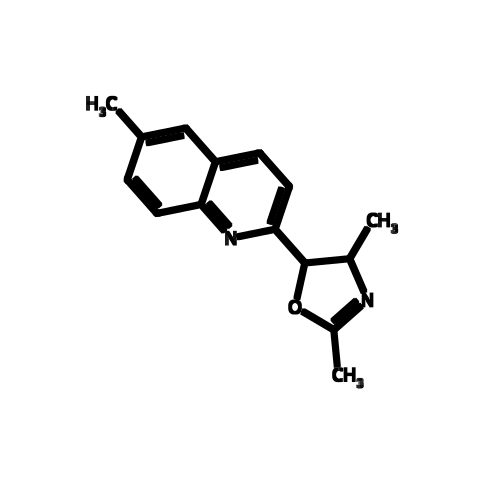 CC1=NC(C)C(c2ccc3cc(C)ccc3n2)O1